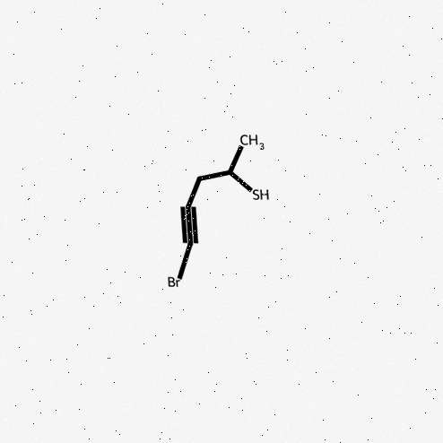 CC(S)CC#CBr